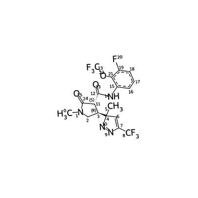 CN1C[C@H](C2(C)C=C(C(F)(F)F)N=N2)[C@@H](C(=O)Nc2cccc(F)c2OC(F)(F)F)C1=O